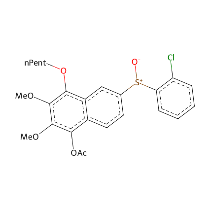 CCCCCOc1c(OC)c(OC)c(OC(C)=O)c2ccc([S+]([O-])c3ccccc3Cl)cc12